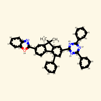 CC1(C)c2cc(-c3nc4ccccc4o3)ccc2-c2c(-c3ccccc3)cc(-c3nc(-c4ccccc4)nc(-c4ccccc4)n3)cc21